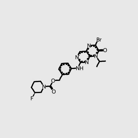 CC(C)n1c(=O)c(Br)nc2cnc(Nc3cccc(COC(=O)N4CCC[C@H](F)C4)c3)nc21